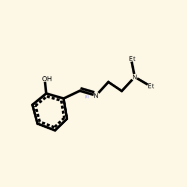 CCN(CC)CC/N=C/c1ccccc1O